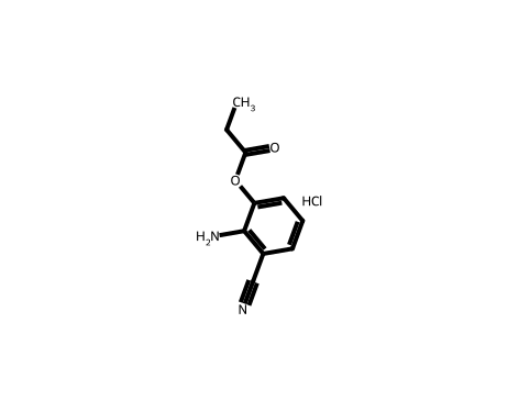 CCC(=O)Oc1cccc(C#N)c1N.Cl